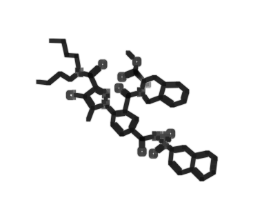 CCCCN(CCCC)C(=O)c1nn(-c2ccc(C(=O)NS(=O)(=O)c3ccc4ccccc4c3)cc2C(=O)N2Cc3ccccc3C[C@@H]2C(=O)OC)c(C)c1Cl